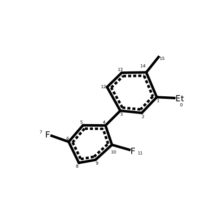 CCc1cc(-c2cc(F)ccc2F)ccc1C